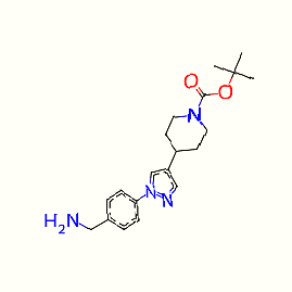 CC(C)(C)OC(=O)N1CCC(c2cnn(-c3ccc(CN)cc3)c2)CC1